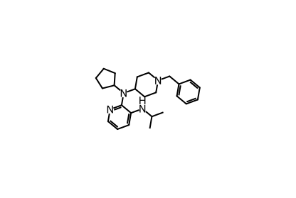 CC(C)Nc1cccnc1N(C1CCCC1)C1CCN(Cc2ccccc2)CC1